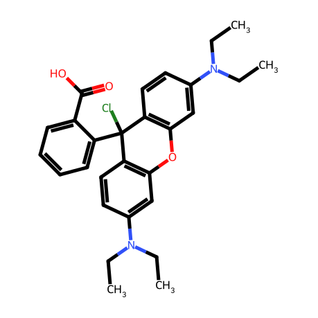 CCN(CC)c1ccc2c(c1)Oc1cc(N(CC)CC)ccc1C2(Cl)c1ccccc1C(=O)O